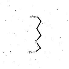 [CH2]CCCCCCCOCCCCCC